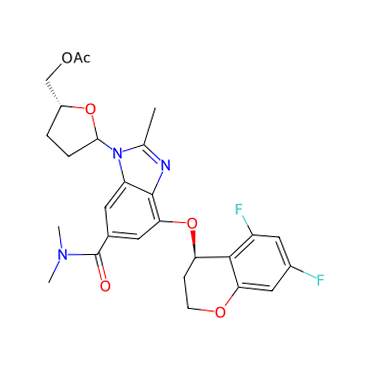 CC(=O)OC[C@H]1CCC(n2c(C)nc3c(O[C@@H]4CCOc5cc(F)cc(F)c54)cc(C(=O)N(C)C)cc32)O1